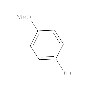 COc1ccc(C(C)(C)C)cc1